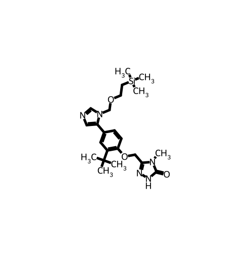 Cn1c(COc2ccc(-c3cncn3COCC[Si](C)(C)C)cc2C(C)(C)C)n[nH]c1=O